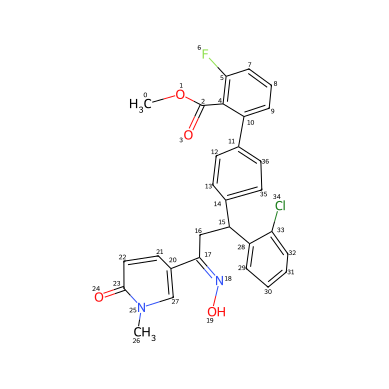 COC(=O)c1c(F)cccc1-c1ccc(C(CC(=NO)c2ccc(=O)n(C)c2)c2ccccc2Cl)cc1